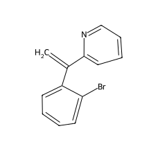 C=C(c1ccccn1)c1ccccc1Br